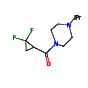 CC(C)N1CCN(C(=O)C2CC2(F)F)CC1